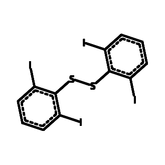 Ic1cccc(I)c1SSc1c(I)cccc1I